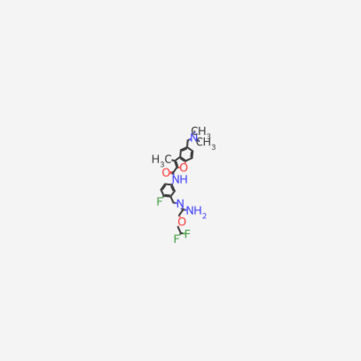 Cc1c(C(=O)Nc2ccc(F)c(C/N=C(/N)COCC(F)F)c2)oc2ccc(CN(C)C)cc12